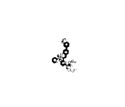 CCCOc1cccc(-c2ccc(CC(NS(=O)(=O)c3ccccn3)c3cccc(N(CC(=O)O)C(=O)OC(C)(C)C)n3)cc2)c1